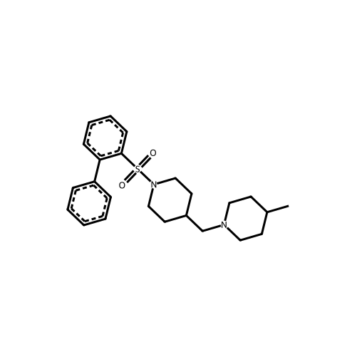 CC1CCN(CC2CCN(S(=O)(=O)c3ccccc3-c3ccccc3)CC2)CC1